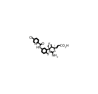 CC1[C@@](C)(/C=C/C(=O)O)SC(N)=N[C@]1(CF)c1cc(NC(=O)c2ccc(Cl)cn2)ccc1F